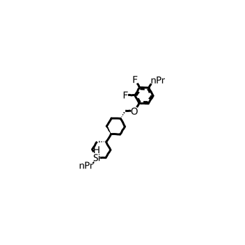 CCCc1ccc(OC[C@H]2CC[C@H]([C@H]3CC[Si@H](CCC)CC3)CC2)c(F)c1F